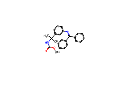 CC(C)(C)OC(=O)NC(C)(C)c1cccc(N=C(c2ccccc2)c2ccccc2)c1